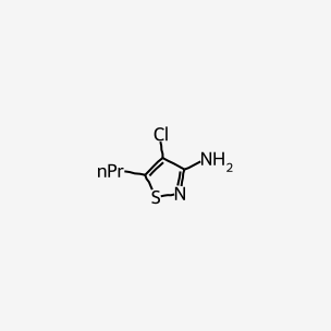 CCCc1snc(N)c1Cl